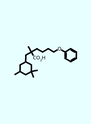 CC1CC(CC(C)(CCCCOc2ccccc2)C(=O)O)CC(C)(C)C1